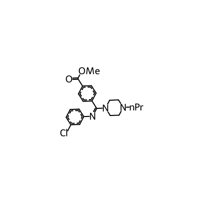 CCCN1CCN(C(=Nc2cccc(Cl)c2)c2ccc(C(=O)OC)cc2)CC1